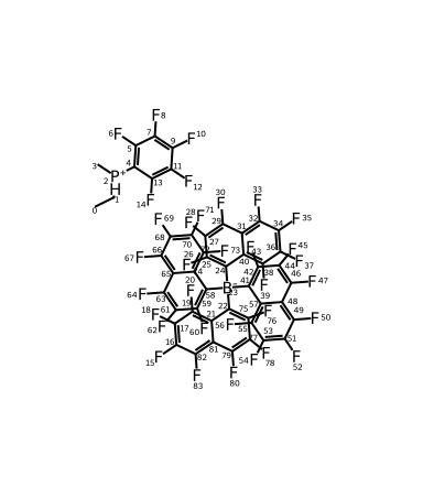 CC[PH+](C)c1c(F)c(F)c(F)c(F)c1F.Fc1c(F)c(F)c2c([B-](c3c(F)c(F)c(F)c4c(F)c(F)c(F)c(F)c34)(c3c(F)c(F)c(F)c4c(F)c(F)c(F)c(F)c34)c3c(F)c(F)c(F)c4c(F)c(F)c(F)c(F)c34)c(F)c(F)c(F)c2c1F